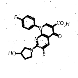 O=C(O)c1cn(-c2ccc(F)cc2)c2nc(N3CCC(O)C3)c(F)cc2c1=O